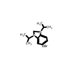 Br.CC(C)N1CN(C(C)C)c2ccccc21